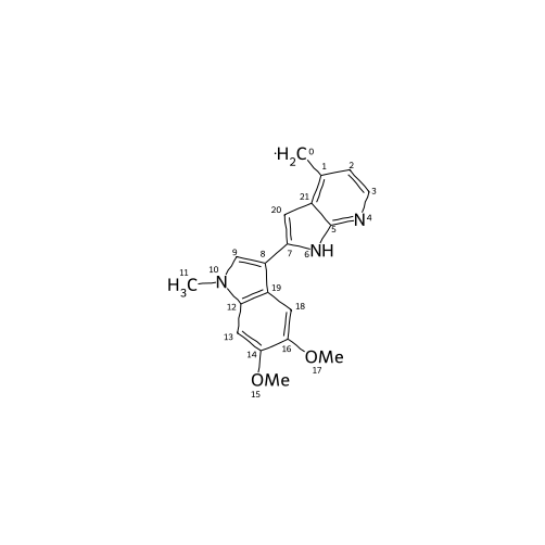 [CH2]c1ccnc2[nH]c(-c3cn(C)c4cc(OC)c(OC)cc34)cc12